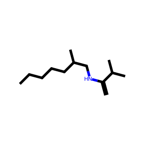 C=C(NCC(C)CCCCC)C(C)C